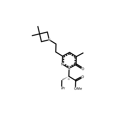 COC(=O)[C@H](CC(C)C)n1nc(CCN2CC(C)(C)C2)cc(C)c1=O